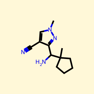 Cn1cc(C#N)c(C(N)C2(C)CCCC2)n1